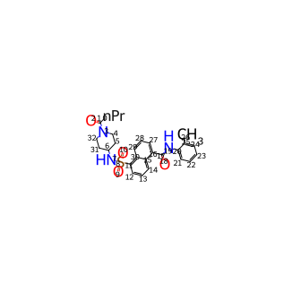 CCCC(=O)N1CCC(NS(=O)(=O)c2cccc3c(C(=O)Nc4ccccc4C)cccc23)CC1